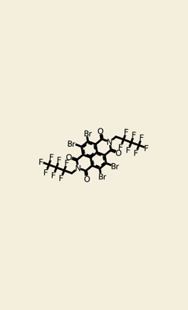 O=C1c2c(Br)c(Br)c3c4c(c(Br)c(Br)c(c24)C(=O)N1CC(F)(F)C(F)(F)C(F)(F)F)C(=O)N(CC(F)(F)C(F)(F)C(F)(F)F)C3=O